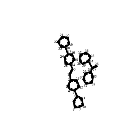 C(=Cc1ccc(-c2ccccc2)cc1)c1ccc(-c2ccccc2)cc1.C=C(c1ccccc1)c1ccccc1